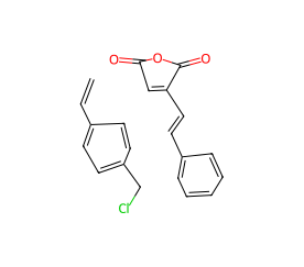 C=Cc1ccc(CCl)cc1.O=C1C=C(C=Cc2ccccc2)C(=O)O1